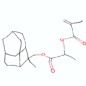 C=C(C)C(=O)OC(C)C(=O)OC1(C)C2CC3CC(C2)CC1C3